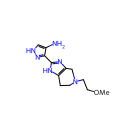 COCCN1CCc2[nH]c(-c3n[nH]cc3N)nc2C1